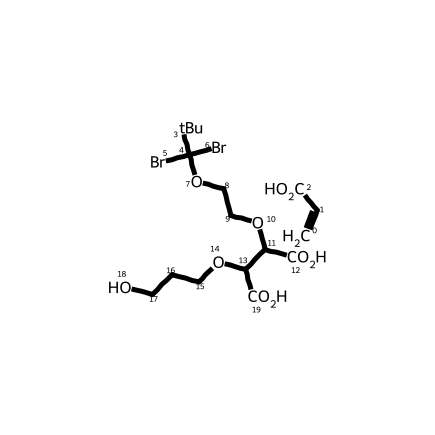 C=CC(=O)O.CC(C)(C)C(Br)(Br)OCCOC(C(=O)O)C(OCCCO)C(=O)O